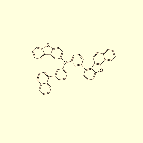 c1cc(-c2cccc3ccccc23)cc(N(c2cccc(-c3cccc4oc5c6ccccc6ccc5c34)c2)c2ccc3sc4ccccc4c3c2)c1